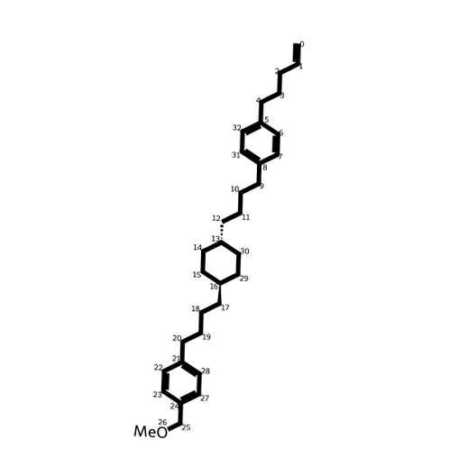 C=CCCCc1ccc(CCCC[C@H]2CC[C@H](CCCCc3ccc(COC)cc3)CC2)cc1